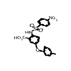 Cc1ccc(Oc2ccc(NS(=O)(=O)c3ccc([N+](=O)[O-])cc3)c(C(=O)O)c2)cc1